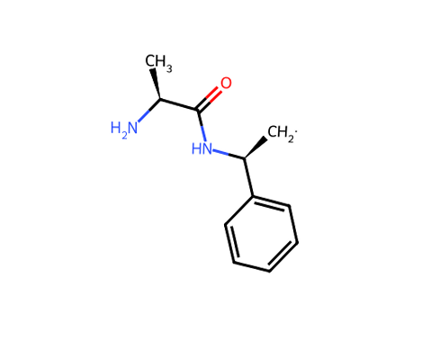 [CH2][C@H](NC(=O)[C@H](C)N)c1ccccc1